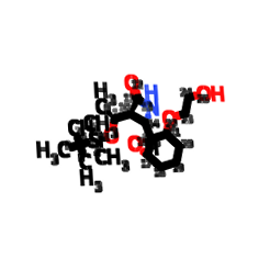 C[C@@H](O[Si](C)(C)C(C)(C)C)[C@H]1C(=O)N[C@H]1[C@]12O[C@@H]1CCCC2OCCO